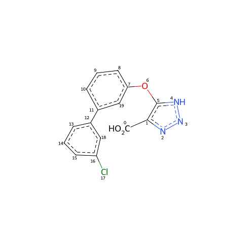 O=C(O)c1nn[nH]c1Oc1cccc(-c2cccc(Cl)c2)c1